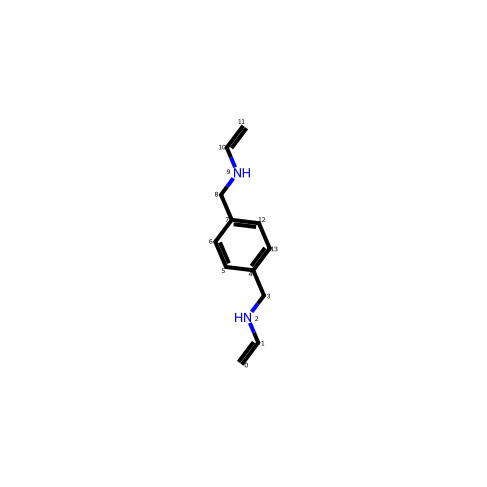 C=CNCc1ccc(CNC=C)cc1